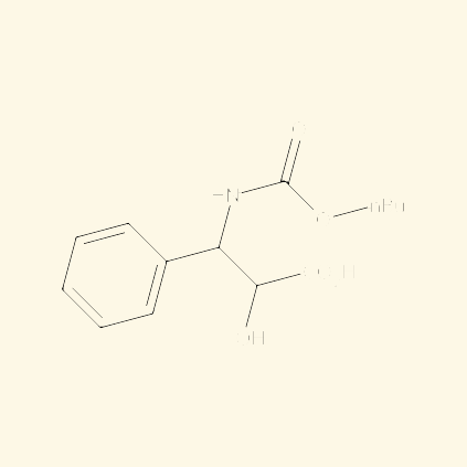 CCCCOC(=O)NC(c1ccccc1)C(O)C(=O)O